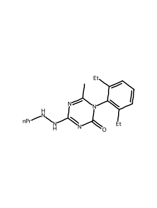 CCCNNc1nc(C)n(-c2c(CC)cccc2CC)c(=O)n1